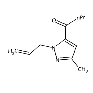 C=CCn1nc(C)cc1C(=O)CCC